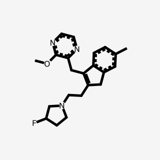 COc1nccnc1CC1=C(CCN2CCC(F)C2)Cc2cc(C)ccc21